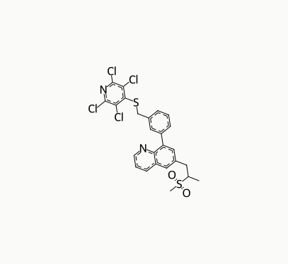 CC(Cc1cc(-c2cccc(CSc3c(Cl)c(Cl)nc(Cl)c3Cl)c2)c2ncccc2c1)S(C)(=O)=O